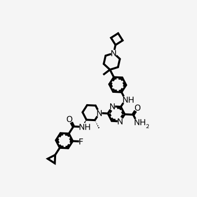 C[C@@H]1[C@H](NC(=O)c2ccc(C3CC3)cc2F)CCCN1c1cnc(C(N)=O)c(Nc2ccc(C3(C)CCN(C4CCC4)CC3)cc2)n1